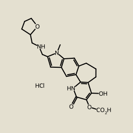 Cl.Cn1c(CNCC2CCCO2)cc2cc3c(cc21)CCCc1c-3[nH]c(=O)c(OC(=O)O)c1O